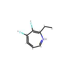 CCC1=C(F)C(F)=C=CC=N1